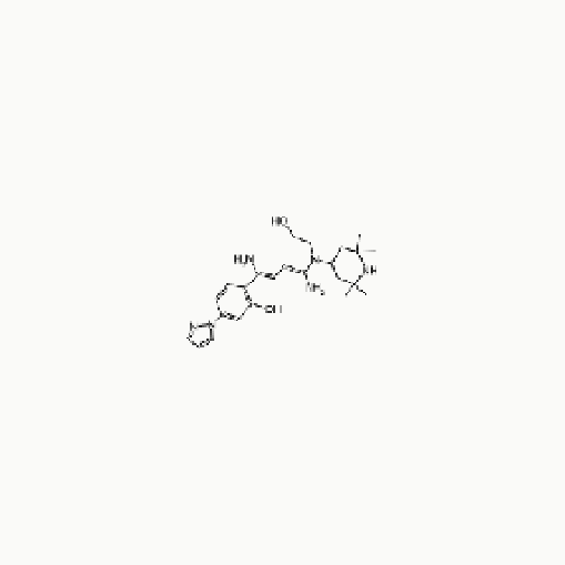 CC1(C)CC(N(CCO)/C(N)=C/C=C(\N)c2ccc(-n3cccn3)cc2O)CC(C)(C)N1